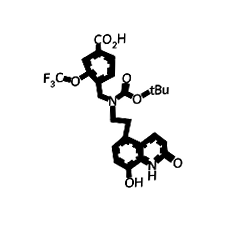 CC(C)(C)OC(=O)N(CCc1ccc(O)c2[nH]c(=O)ccc12)Cc1ccc(C(=O)O)cc1OC(F)(F)F